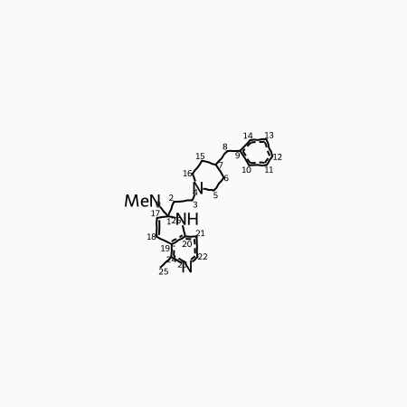 CNC1(CCN2CCC(Cc3ccccc3)CC2)C=Cc2c(ccnc2C)N1